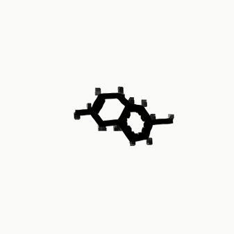 CC1=C[CH]c2cc(C)ccc2C1